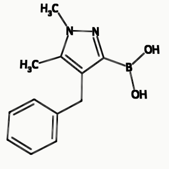 Cc1c(Cc2ccccc2)c(B(O)O)nn1C